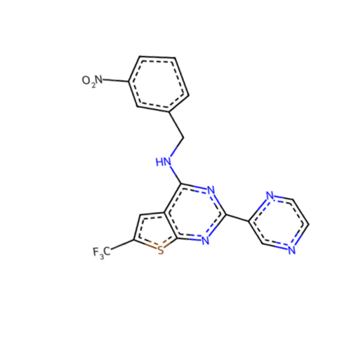 O=[N+]([O-])c1cccc(CNc2nc(-c3cnccn3)nc3sc(C(F)(F)F)cc23)c1